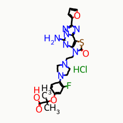 CC(C)(Oc1ccc(N2CCN(CCn3c(=O)sc4c3nc(N)n3nc(-c5ccco5)nc43)CC2)c(F)c1)C(=O)O.Cl